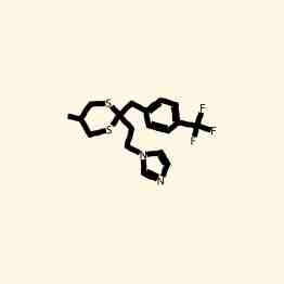 CC1CSC(CCn2ccnc2)(Cc2ccc(C(F)(F)F)cc2)SC1